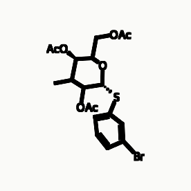 CC(=O)OCC1O[C@H](Sc2cccc(Br)c2)C(OC(C)=O)C(C)[C@H]1OC(C)=O